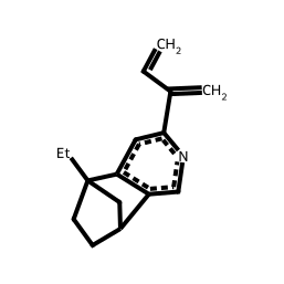 C=CC(=C)c1cc2c(cn1)C1CCC2(CC)C1